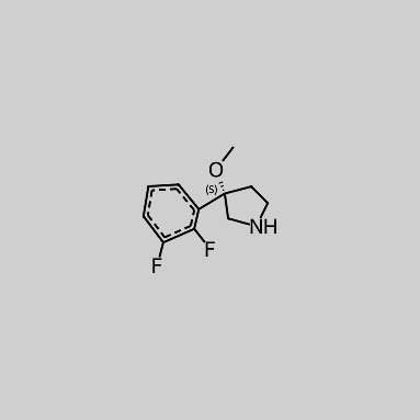 CO[C@]1(c2cccc(F)c2F)CCNC1